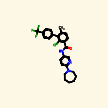 Cc1ccc(C(=O)Nc2ccc(N3CCCCCC3)nc2)c(Cl)c1-c1ccc(C(F)(F)F)cc1